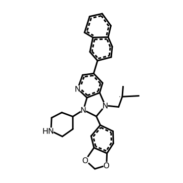 C[C](C)CN1c2cc(-c3ccc4ccccc4c3)cnc2N(C2CCNCC2)C1c1ccc2c(c1)OCO2